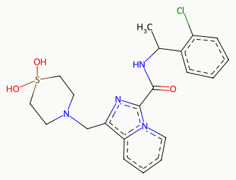 CC(NC(=O)c1nc(CN2CCS(O)(O)CC2)c2ccccn12)c1ccccc1Cl